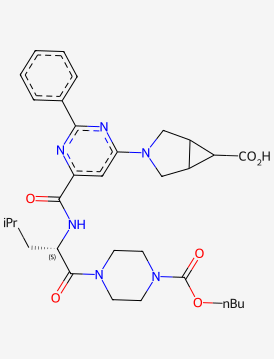 CCCCOC(=O)N1CCN(C(=O)[C@H](CC(C)C)NC(=O)c2cc(N3CC4C(C3)C4C(=O)O)nc(-c3ccccc3)n2)CC1